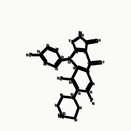 O=c1[nH]sc2c1c(=O)c1cc(F)c(N3CCNCC3)c(F)c1n2-c1ccc(F)cc1